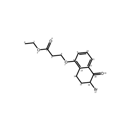 CCOC(=O)CCOc1cccc2c1CCC(Br)C2=O